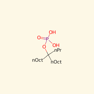 CCCCCCCCC(CCC)(CCCCCCCC)OP(=O)(O)O